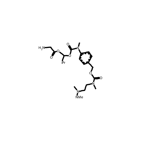 CNN(C)CCN(C)C(=O)OCc1ccc(N(C)C(=O)OC(OC(=O)CN)C(C)C)cc1